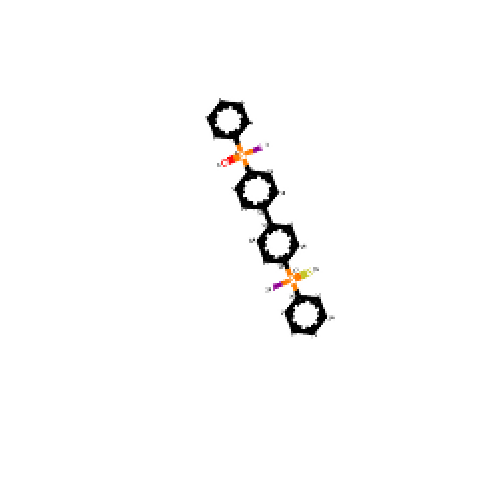 O=P(I)(c1ccccc1)c1ccc(-c2ccc(P(=S)(I)c3ccccc3)cc2)cc1